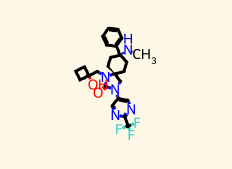 CN[C@]1(c2ccccc2)CC[C@@]2(CC1)CN(c1cnc(C(F)(F)F)nc1)C(=O)N2CC1(O)CCC1